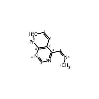 C/C=C\c1c(/C=N\C)ncnc1C(C)C